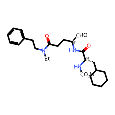 CCN(CCc1ccccc1)C(=O)CC[C@@H](C=O)NC(=O)[C@H](CC1CCCCC1)NC(=O)O